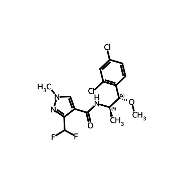 CO[C@@H](c1ccc(Cl)cc1Cl)[C@@H](C)NC(=O)c1cn(C)nc1C(F)F